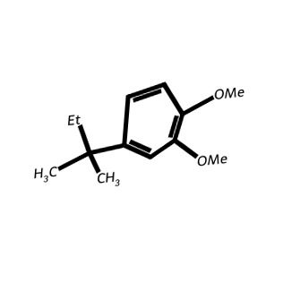 CCC(C)(C)c1ccc(OC)c(OC)c1